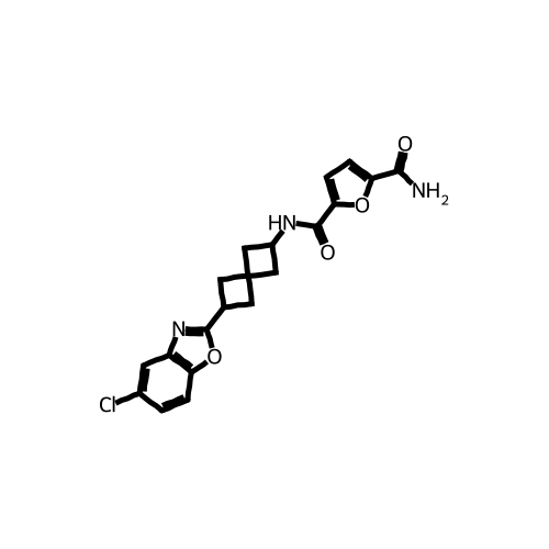 NC(=O)c1ccc(C(=O)NC2CC3(C2)CC(c2nc4cc(Cl)ccc4o2)C3)o1